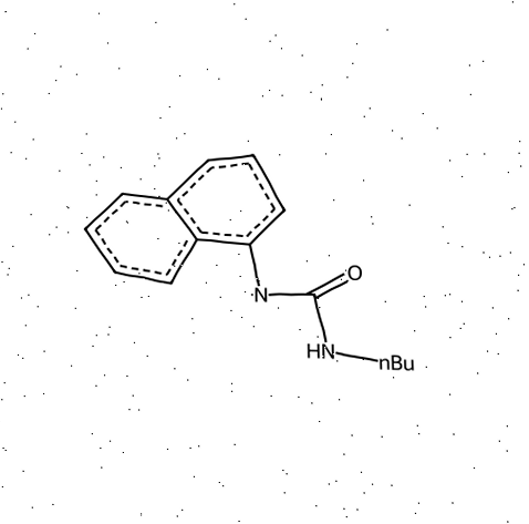 CCCCNC(=O)[N]c1cccc2ccccc12